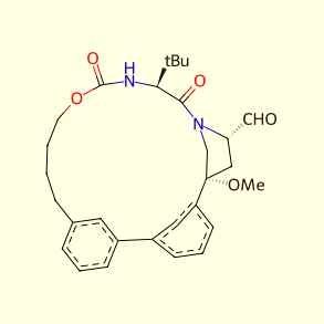 CO[C@@]12C[C@@H](C=O)N(C1)C(=O)[C@H](C(C)(C)C)NC(=O)OCCCCc1cccc(c1)-c1cccc2c1